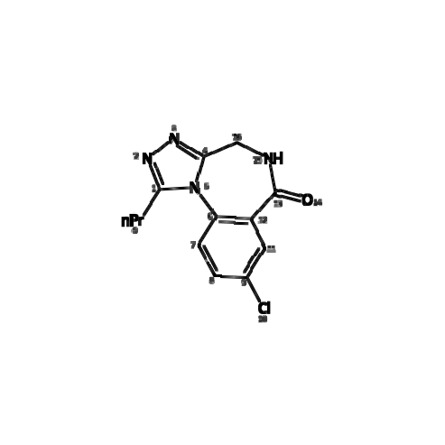 CCCc1nnc2n1-c1ccc(Cl)cc1C(=O)NC2